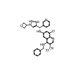 CC[C@@H](Nc1c(C#N)cnc2c(Cl)cc(N[C@H](C3=CN(C4COC4)NN3)c3cccnc3)cc12)c1ccccc1